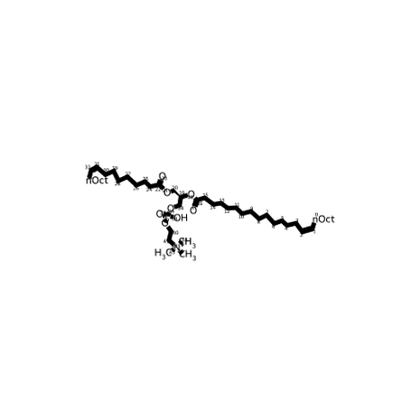 CCCCCCCC/C=C\CCCCCCCCCCCCCC(=O)O[C@H](COC(=O)CCCCCCC/C=C\CCCCCCCC)COP(=O)(O)OCC[N+](C)(C)C